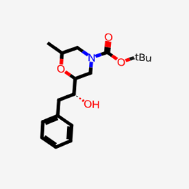 CC1CN(C(=O)OC(C)(C)C)CC([C@H](O)Cc2ccccc2)O1